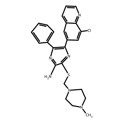 CN1CCN(CSc2nc(-c3cc(Cl)c4ncccc4c3)c(-c3ccccc3)nc2N)CC1